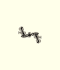 C=C(C)C(=O)OCCNC(=O)OC(C)(OCC)Oc1ccc(C(F)(F)C(F)(F)c2ccc(OC(C)(OCC)OC(=O)NCCOC(=O)C(=C)C)cc2)cc1